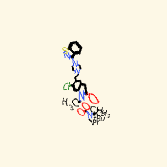 CC(C)CN(C(=O)OC(C)N1C(=O)Cc2cc(CCN3CCN(c4nsc5ccccc45)CC3)c(Cl)cc21)C(C)(C)C(C)(C)C